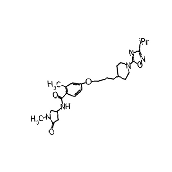 Cc1cc(OCCCC2CCN(c3nc(C(C)C)no3)CC2)ccc1C(=O)NC1CC(=O)N(C)C1